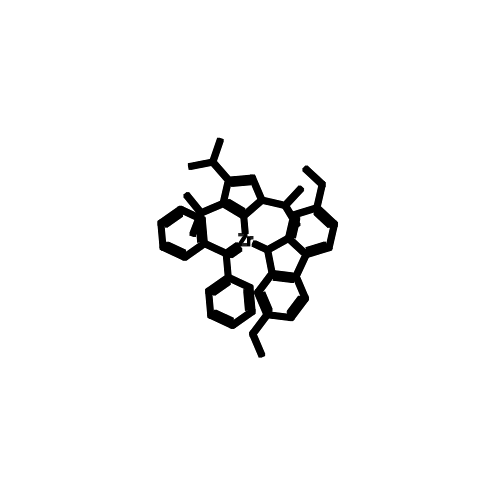 CCc1ccc2c(c1)[CH]([Zr]([C]1=C(C(C)C)C(C(C)C)=CC1C(C)C)=[C](c1ccccc1)c1ccccc1)c1cc(CC)ccc1-2